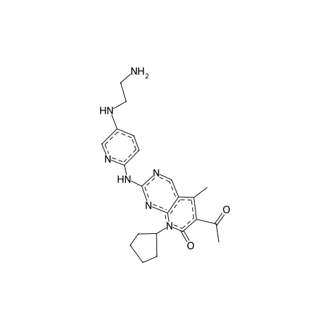 CC(=O)c1c(C)c2cnc(Nc3ccc(NCCN)cn3)nc2n(C2CCCC2)c1=O